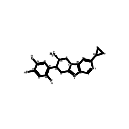 N[C@H]1Cn2c(nc3cnc(C4CC4)cc32)CC1c1cc(F)c(F)cc1F